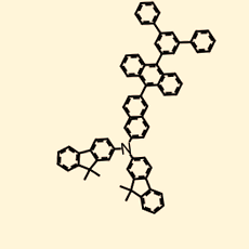 CC1(C)c2ccccc2-c2ccc(N(c3ccc4c(c3)C(C)(C)c3ccccc3-4)c3ccc4cc(-c5c6ccccc6c(-c6cc(-c7ccccc7)cc(-c7ccccc7)c6)c6ccccc56)ccc4c3)cc21